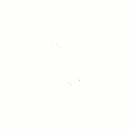 NC/C(=C/F)COc1ccc(-c2ncc[nH]2)cc1